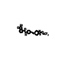 CCN1Cc2c(C(=O)N[C@H]3CC[C@H](CCN4CCc5nc(OCC(F)(F)F)sc5CC4)CC3)cccc2C1=O